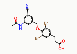 CC(=O)Nc1cc(C#N)cc(COc2c(Br)cc(CCC(=O)O)cc2Br)c1